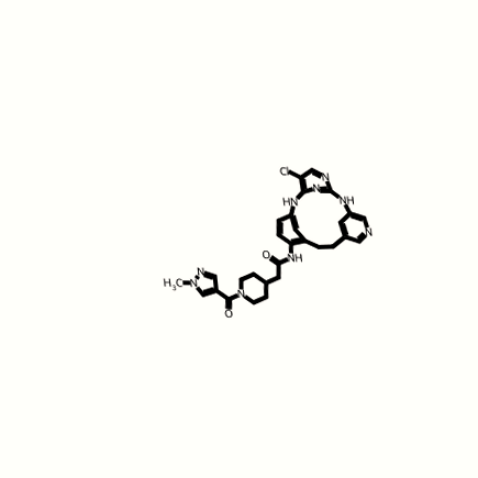 Cn1cc(C(=O)N2CCC(CC(=O)Nc3ccc4cc3CCc3cncc(c3)Nc3ncc(Cl)c(n3)N4)CC2)cn1